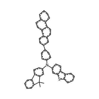 CC1(C)c2ccccc2-c2ccc(N(c3ccc(-c4ccc5c(ccc6c7ccccc7ccc56)c4)cc3)c3ccc4c(c3)sc3ccccc34)cc21